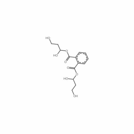 O=C(OC(O)CCO)c1ccccc1C(=O)OC(O)CCO